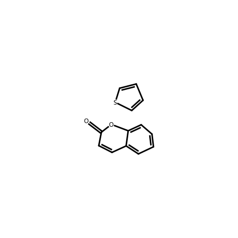 O=c1ccc2ccccc2o1.c1ccsc1